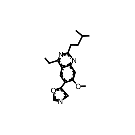 CCc1nc(CCC(C)C)nc2cc(OC)c(-c3cnco3)cc12